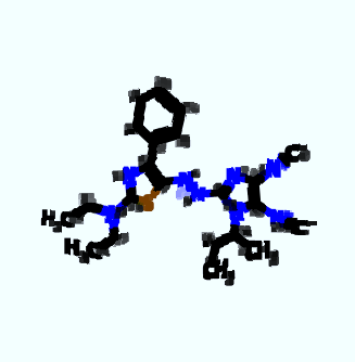 [C-]#[N+]c1nc(/N=N/c2sc(N(CC)CC)nc2-c2ccccc2)n(C(C)CC)c1[N+]#[C-]